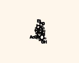 CCC(=O)[C@H]1CC[C@H]2[C@@H]3C[C@H](OC(C)=O)[C@H]4C[C@H](O)CC[C@]4(C)[C@H]3CC[C@]12C